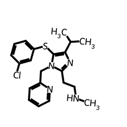 CNCCc1nc(C(C)C)c(Sc2cccc(Cl)c2)n1Cc1ccccn1